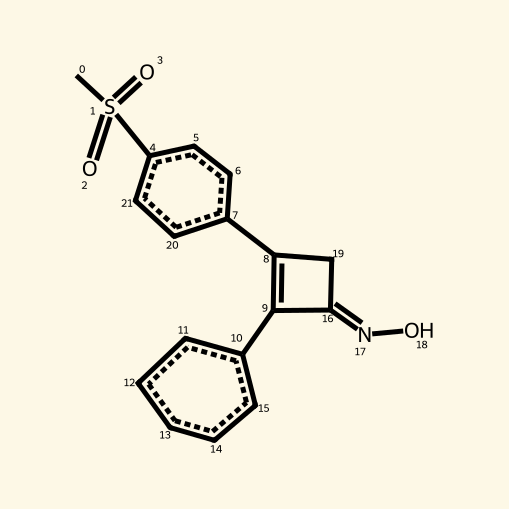 CS(=O)(=O)c1ccc(C2=C(c3ccccc3)/C(=N/O)C2)cc1